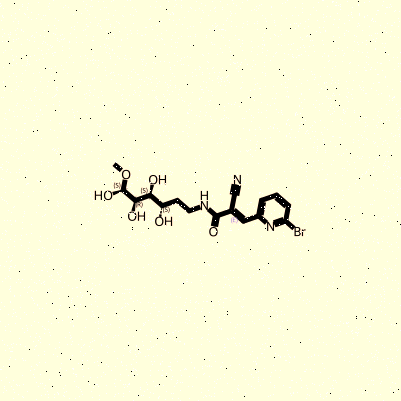 CO[C@H](O)[C@H](O)[C@@H](O)[C@@H](O)CCNC(=O)/C(C#N)=C/c1cccc(Br)n1